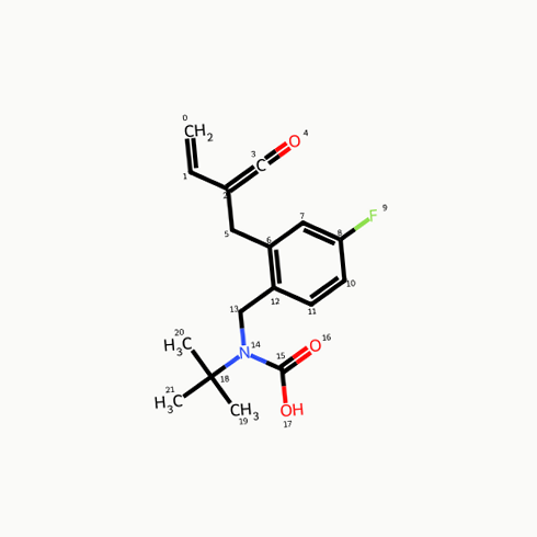 C=CC(=C=O)Cc1cc(F)ccc1CN(C(=O)O)C(C)(C)C